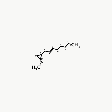 CCCCCC=CCC1CC1OC